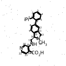 CC(C)c1ccccc1-c1ccc2c(c1)CN(C)[C@H]2CNc1cnccc1C(=O)O